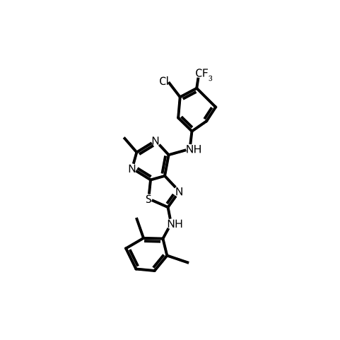 Cc1nc(Nc2ccc(C(F)(F)F)c(Cl)c2)c2nc(Nc3c(C)cccc3C)sc2n1